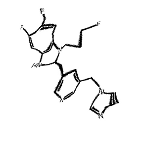 FCCN1c2cc(F)c(F)cc2NC1c1cncc(Cn2c#cnc2)c1